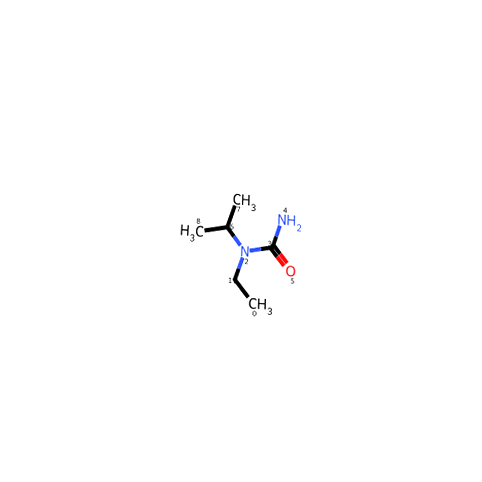 C[CH]N(C(N)=O)C(C)C